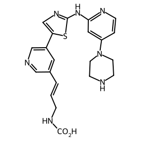 O=C(O)NCC=Cc1cncc(-c2cnc(Nc3cc(N4CCNCC4)ccn3)s2)c1